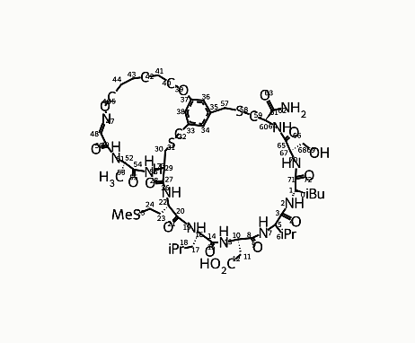 CC[C@H](C)[C@@H]1NC(=O)C(C(C)C)NC(=O)[C@H](CC(=O)O)NC(=O)[C@H](CC(C)C)NC(=O)[C@H](CCSC)NC(=O)[C@@H]2CSCc3cc(cc(c3)OCCCCCCO/N=C/C(=O)N[C@@H](C)C(=O)N2)CSC[C@@H](C(N)=O)NC(=O)[C@H](CO)NC1=O